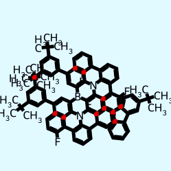 CC(C)(C)c1cc(-c2ccc3c(c2)B2c4cc(-c5cc(C(C)(C)C)cc(C(C)(C)C)c5)ccc4N(c4c(-c5ccccc5F)cccc4-c4ccccc4F)c4cc(-n5c6ccccc6c6cc(C(C)(C)C)ccc65)cc(c42)N3c2c(-c3ccccc3F)cccc2-c2ccccc2F)cc(C(C)(C)C)c1